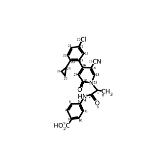 CC(C(=O)Nc1ccc(C(=O)O)cc1)n1cc(C#N)c(-c2cc(Cl)ccc2C2CC2)cc1=O